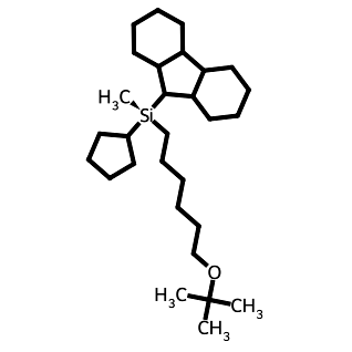 CC(C)(C)OCCCCCC[Si@](C)(C1CCCC1)C1C2CCCCC2C2CCCCC21